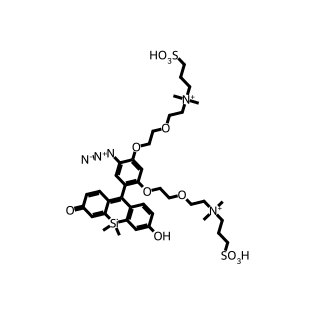 C[N+](C)(CCCS(=O)(=O)O)CCOCCOc1cc(OCCOCC[N+](C)(C)CCCS(=O)(=O)O)c(C2=C3C=CC(=O)C=C3[Si](C)(C)c3cc(O)ccc32)cc1N=[N+]=[N-]